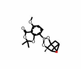 COc1ccc(B2OC34CC5CC(C53C)[C@]4(C)O2)c2c1C(=O)OC(C)(C)O2